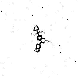 CN1Cc2cc(C(C)(C)N3CCOCC3)ccc2C(c2ccc3occc3c2)C1